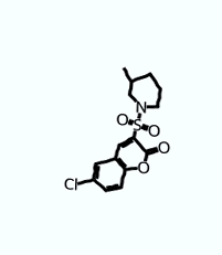 CC1CCCN(S(=O)(=O)c2cc3cc(Cl)ccc3oc2=O)C1